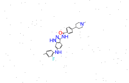 Cc1ccc(Nc2ccc3c(NC(=O)c4ccc(C5CCN(C)CC5)cc4)n[nH]c3c2)c(F)c1